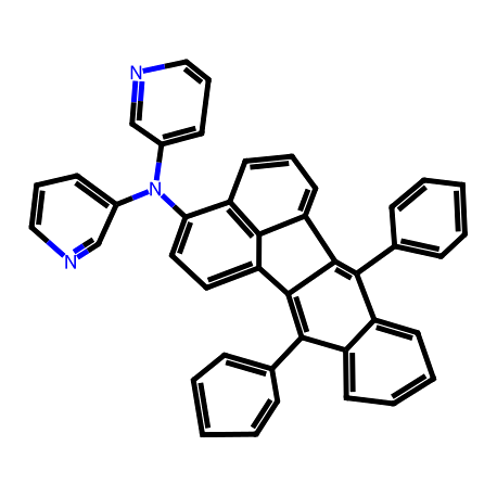 c1ccc(-c2c3c(c(-c4ccccc4)c4ccccc24)-c2ccc(N(c4cccnc4)c4cccnc4)c4cccc-3c24)cc1